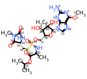 COc1nc(N)nc2c1ncn2[C@@H]1O[C@H](COP(=O)(N[C@@H](C)C(=O)OC(C)C)SC[C@H]2NC(=O)N(C)C2=O)[C@@H](O)[C@@]1(C)O